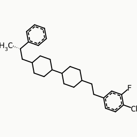 C[C@@H](CC1CCC(C2CCC(CCc3ccc(Cl)c(F)c3)CC2)CC1)c1ccccc1